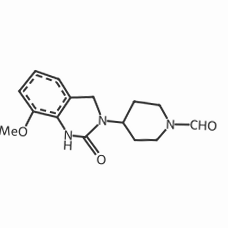 COc1cccc2c1NC(=O)N(C1CCN(C=O)CC1)C2